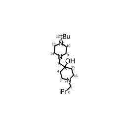 CC(C)CN1CCC(O)(CN2CCN(C(C)(C)C)CC2)CC1